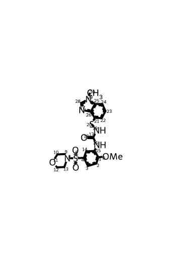 COc1ccc(S(=O)(=O)N2CCOCC2)cc1NC(=O)NSc1cccc2c1ncn2C